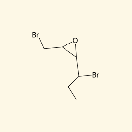 CCC(Br)C1OC1CBr